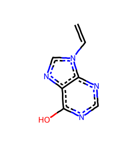 C=Cn1cnc2c(O)ncnc21